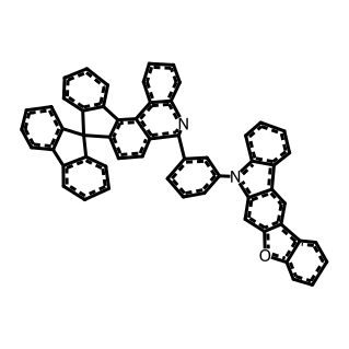 c1cc(-c2nc3ccccc3c3c4c(ccc23)C2(c3ccccc3-c3ccccc32)c2ccccc2-4)cc(-n2c3ccccc3c3cc4c(cc32)oc2ccccc24)c1